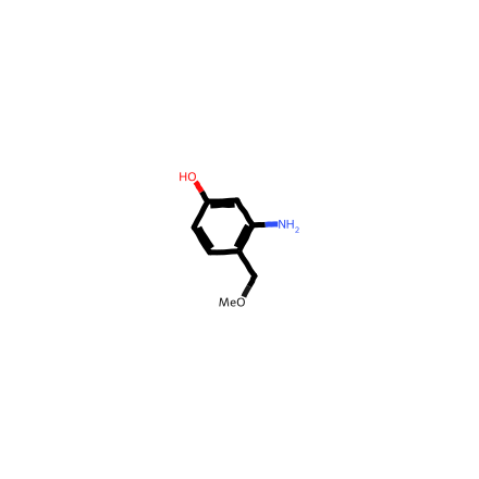 COCc1ccc(O)cc1N